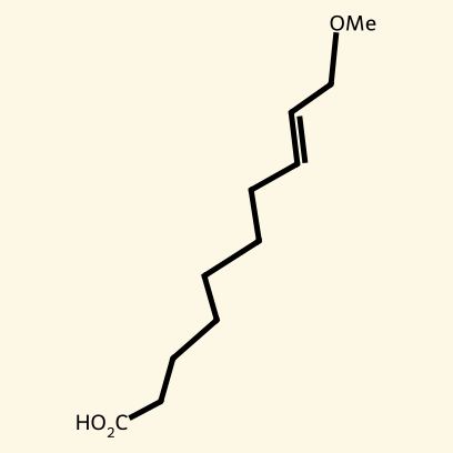 COCC=CCCCCCCC(=O)O